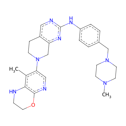 Cc1c(N2CCc3cnc(Nc4ccc(CN5CCN(C)CC5)cc4)nc3C2)cnc2c1NCCO2